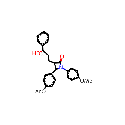 COc1ccc(N2C(=O)C(CC[C@@H](O)c3ccccc3)C2c2ccc(OC(C)=O)cc2)cc1